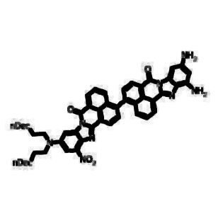 CCCCCCCCCCCCN(CCCCCCCCCCCC)c1cc([N+](=O)[O-])c2nc3c4ccc(-c5ccc6c(=O)n7c8cc(N)cc(N)c8nc7c7cccc5c67)c5cccc(c(=O)n3c2c1)c54